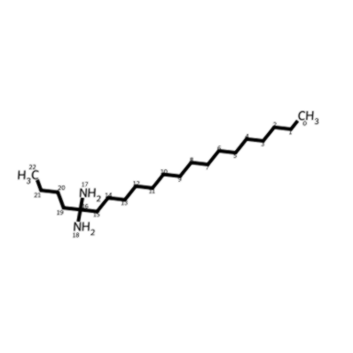 CCCCCCCCCCCCCCCCC(N)(N)CCCC